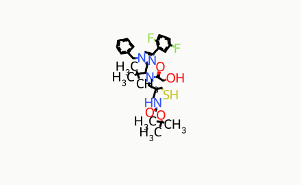 CC(C)(C)OC(=O)NCC(CS)CN(C(=O)CO)[C@@H](c1nc(-c2cc(F)ccc2F)cn1Cc1ccccc1)C(C)(C)C